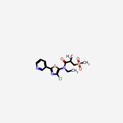 CCN(C(=O)C(C)CS(C)(=O)=O)c1sc(-c2cccnc2)nc1Cl